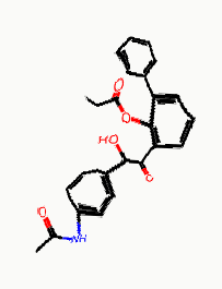 CC(=O)Nc1ccc(C(O)C(=O)c2cccc(-c3ccccc3)c2OC(C)=O)cc1